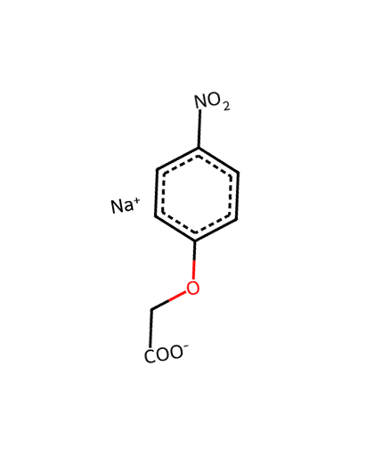 O=C([O-])COc1ccc([N+](=O)[O-])cc1.[Na+]